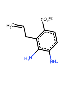 C=CCc1c(C(=O)OCC)ccc(N)c1N